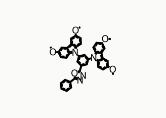 COc1ccc2c(c1)c1cc(OC)ccc1n2-c1cc(-c2nnc(-c3ccccc3)o2)cc(-n2c3ccc(OC)cc3c3cc(OC)ccc32)c1